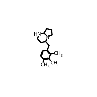 Cc1ccc(CC2CCNC3CCCN23)c(C)c1C